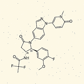 COc1cc([C@H]2[C@H](NC(=O)C(C)(F)F)CC(=O)N2c2ccc3c(cnn3-c3ccc(=O)n(C)c3)c2)ccc1F